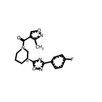 Cc1nocc1C(=O)N1CCC[C@H](c2nc(-c3ccc(F)cc3)no2)C1